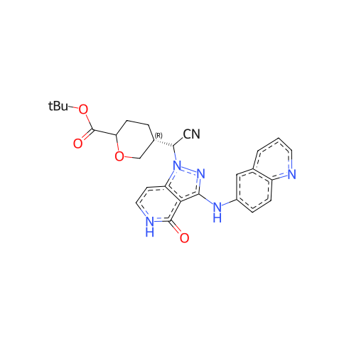 CC(C)(C)OC(=O)C1CC[C@H](C(C#N)n2nc(Nc3ccc4ncccc4c3)c3c(=O)[nH]ccc32)CO1